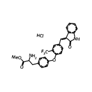 COC(=O)C(N)Cc1ccc(Oc2ccc(C=C3C(=O)Nc4ccccc43)cc2C(F)(F)F)cc1.Cl